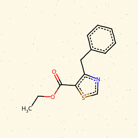 CCOC(=O)c1scnc1Cc1ccccc1